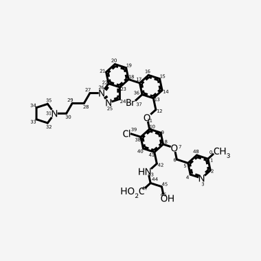 Cc1cncc(COc2cc(OCc3cccc(-c4cccc5c4cnn5CCCCN4CCCC4)c3Br)c(Cl)cc2CNC(CO)C(=O)O)c1